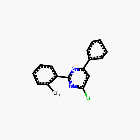 FC(F)(F)c1ccccc1-c1nc(Cl)cc(-c2ccccc2)n1